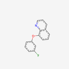 Fc1cccc(Oc2cccc3cccnc23)c1